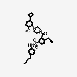 C#CCc1ccc(S(=O)(=O)Nc2ccc(CCCC)cc2)cc1C(=O)N1CCN(c2cc(C3CCC3)ccc2OC)CC1